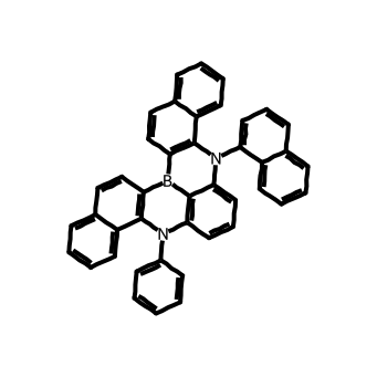 c1ccc(N2c3cccc4c3B(c3ccc5ccccc5c32)c2ccc3ccccc3c2N4c2cccc3ccccc23)cc1